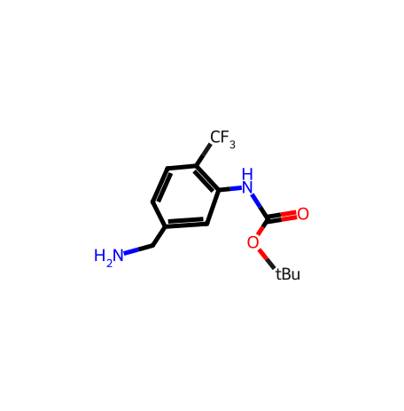 CC(C)(C)OC(=O)Nc1cc(CN)ccc1C(F)(F)F